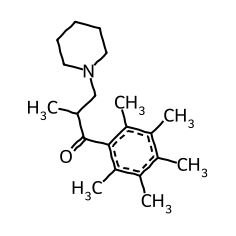 Cc1c(C)c(C)c(C(=O)C(C)CN2CCCCC2)c(C)c1C